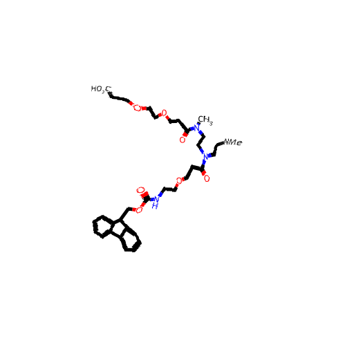 CNCCN(CCN(C)C(=O)CCOCCOCCC(=O)O)C(=O)CCOCCNC(=O)OCC1c2ccccc2-c2ccccc21